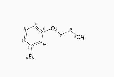 CCc1c[c]cc(OCCO)c1